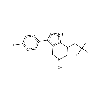 CN1Cc2c(-c3ccc(F)cc3)c[nH]c2C(CC(F)(F)F)C1